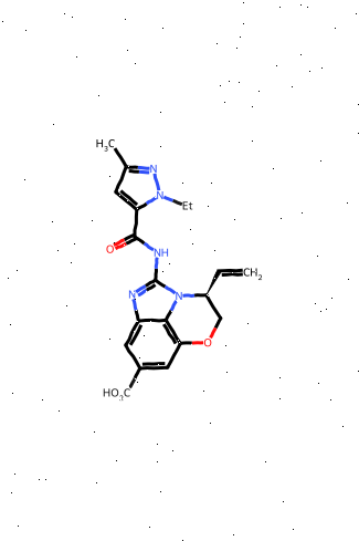 C=C[C@H]1COc2cc(C(=O)O)cc3nc(NC(=O)c4cc(C)nn4CC)n1c23